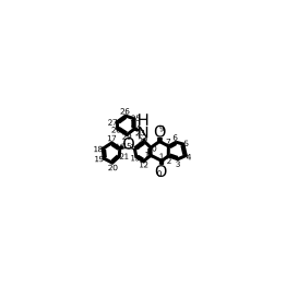 O=C1c2ccccc2C(=O)c2c1ccc(Oc1ccccc1)c2Nc1ccccc1